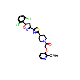 COc1ncccc1OCC(=O)N1CCC(c2nc(C3=NOC(c4c(Cl)cccc4Cl)C3)cs2)CC1